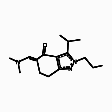 CCCn1nc2c(c1C(C)C)C(=O)/C(=C/N(C)C)CC2